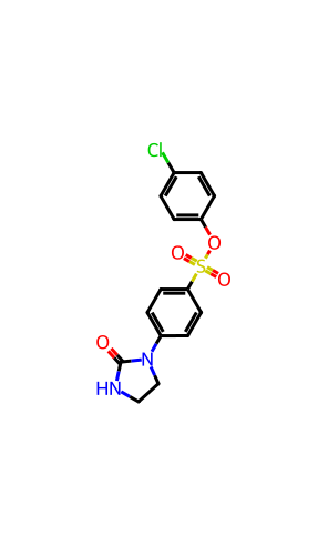 O=C1NCCN1c1ccc(S(=O)(=O)Oc2ccc(Cl)cc2)cc1